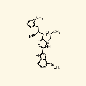 COc1cccc2[nH]c(C(=O)N[C@@H](CC(C)C)C(=O)NC(C#N)Cc3cncn3C)cc12